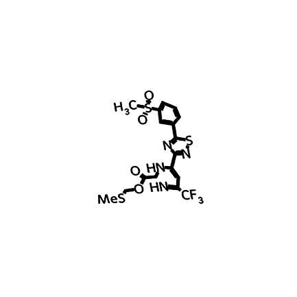 CSCOC(=O)CN/C(=C\C(=N)C(F)(F)F)c1nsc(-c2cccc(S(C)(=O)=O)c2)n1